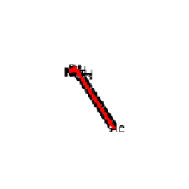 CC(=O)CCOCCOCCOCCOCCOCCOCCOCCOCCOCCOCCOCCOCCOCCOCCOCCOCCOCCOCCOCCOCCOCCOCCOCCOCCNC(=O)CCCCCN1C=CC(=Cc2sc3ccc(N=[N+]=[N-])cc3[n+]2C)C=C1